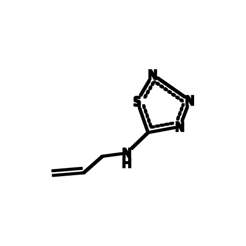 C=CCNc1nnns1